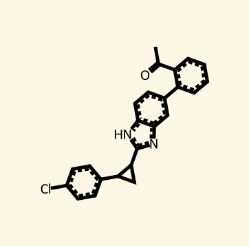 CC(=O)c1ccccc1-c1ccc2[nH]c(C3CC3c3ccc(Cl)cc3)nc2c1